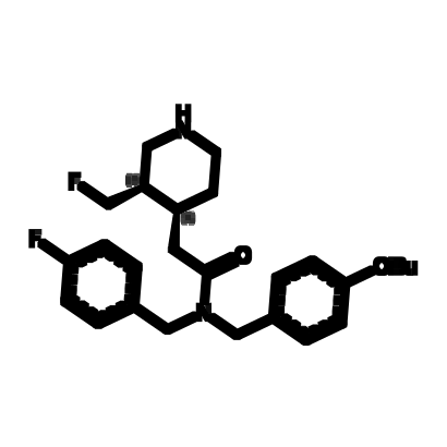 CC(C)COc1ccc(CN(Cc2ccc(F)cc2)C(=O)C[C@@H]2CCNC[C@@H]2CF)cc1